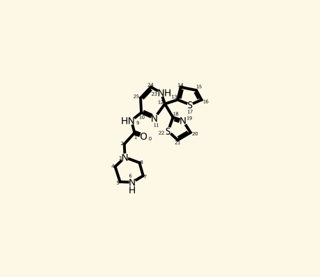 O=C(CN1CCNCC1)NC1=NC(c2cccs2)(c2nccs2)NC=C1